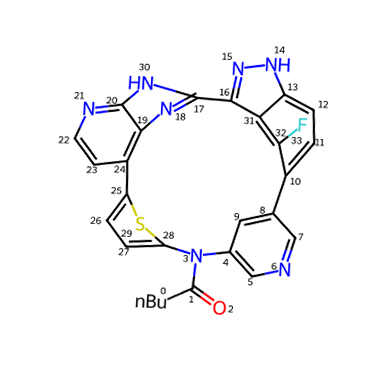 CCCCC(=O)n1c2cncc(c2)c2ccc3[nH]nc(c4nc5c(nccc5c5ccc1s5)[nH]4)c3c2F